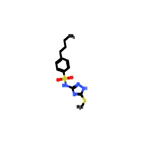 CCCCc1ccc(S(=O)(=O)Nc2n[nH]c(SC)n2)cc1